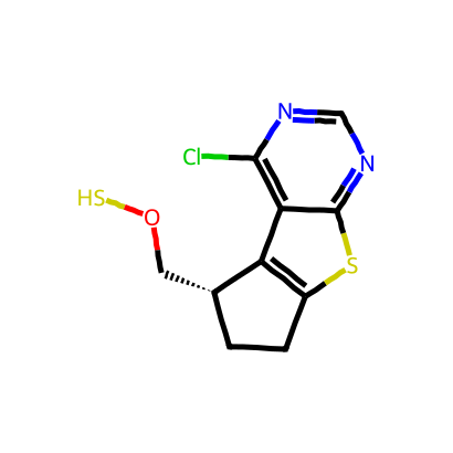 SOC[C@H]1CCc2sc3ncnc(Cl)c3c21